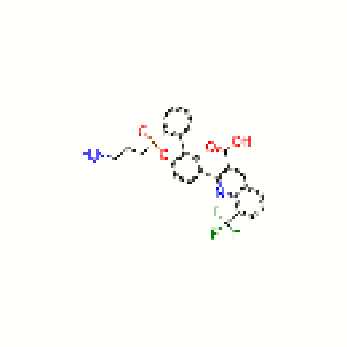 NCCCS(=O)(=O)c1ccccc1-c1cccc(-c2nc3c(C(F)(F)F)cccc3cc2C(=O)O)c1